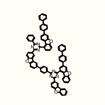 c1ccc(-c2ccc(-c3ccc4c(c3)oc3cccc(-c5nc(-c6ccccc6)nc(-c6ccc7oc8ccc(-c9ccc(-c%10nc(-c%11ccc%12oc%13ccccc%13c%12c%11)nc(-c%11cc(-c%12ccc(-c%13ccccc%13)cc%12)cc%12oc%13ccccc%13c%11%12)n%10)cc9)cc8c7c6)n5)c34)cc2)cc1